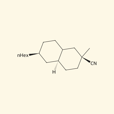 CCCCCC[C@H]1CCC2C[C@@](C)(C#N)CC[C@H]2C1